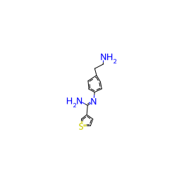 NCCc1ccc(N=C(N)c2ccsc2)cc1